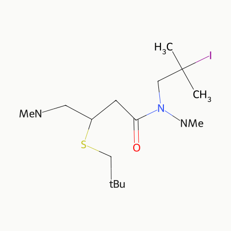 CNCC(CC(=O)N(CC(C)(C)I)NC)SCC(C)(C)C